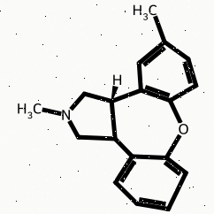 Cc1ccc2c(c1)[C@H]1CN(C)CC1c1ccccc1O2